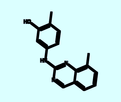 Cc1ccc(Nc2ncc3cccc(C)c3n2)cc1O